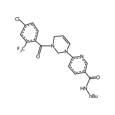 CCCCNC(=O)c1ccc(N2C=CCN(C(=O)c3ccc(Cl)cc3C(F)(F)F)C2)nc1